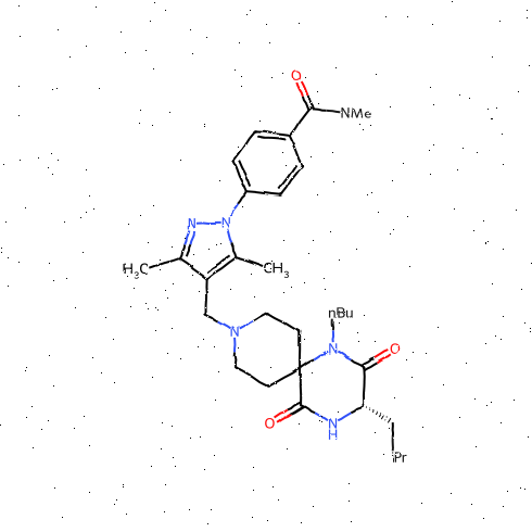 CCCCN1C(=O)[C@H](CC(C)C)NC(=O)C12CCN(Cc1c(C)nn(-c3ccc(C(=O)NC)cc3)c1C)CC2